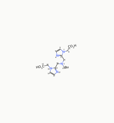 CC(C)(C)N(Cc1nccn1CC(=O)O)Cc1nccn1CC(=O)O